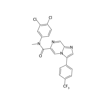 CN(C(=O)c1cn2c(-c3ccc(C(F)(F)F)cc3)cnc2cn1)c1ccc(Cl)c(Cl)c1